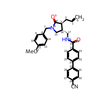 C=CC[C@@H]1C(=O)N(Cc2ccc(OC)cc2)C[C@H]1CNC(=O)c1ccc(-c2ccc(C#N)cc2)cc1